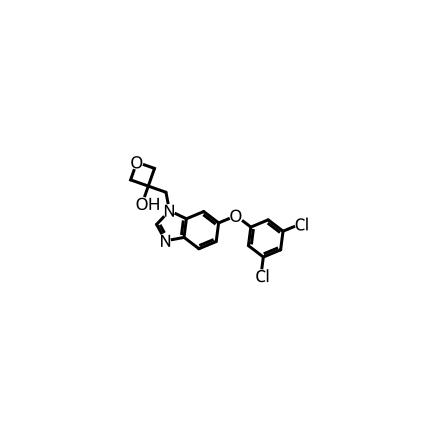 OC1(Cn2cnc3ccc(Oc4cc(Cl)cc(Cl)c4)cc32)COC1